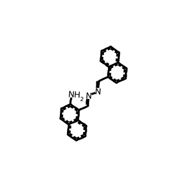 Nc1ccc2ccccc2c1C=NN=Cc1cccc2ccccc12